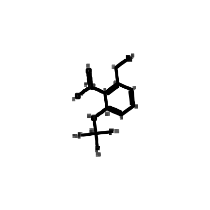 O=[N+]([O-])c1c(CBr)cccc1OC(F)(F)F